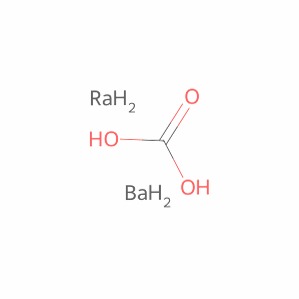 O=C(O)O.[BaH2].[RaH2]